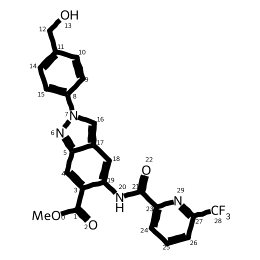 COC(=O)c1cc2nn(-c3ccc(CO)cc3)cc2cc1NC(=O)c1cccc(C(F)(F)F)n1